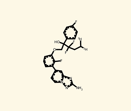 [2H]C([2H])CC(F)(F)C(O)(COc1cccc(-c2ccn3nc(N)nc3c2)c1F)c1ccc(F)cc1